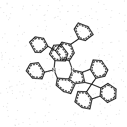 c1ccc(-c2cc(-c3ccccc3)nc(-n3c4c(c5cccc(N(c6ccccc6)c6ccccc6)c53)C3(c5ccccc5-c5ccccc53)c3ccccc3-4)c2)cc1